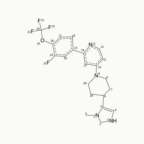 CN1CNC=C1C1CCN(c2ccnc(-c3ccc(OC(F)(F)F)c(F)c3)c2)CC1